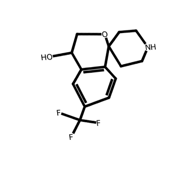 OC1COC2(CCNCC2)c2ccc(C(F)(F)F)cc21